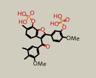 COc1ccc(-c2oc3c(OP(=O)(O)O)c(C)ccc3c2C(=O)c2cc(C)c(C)c(OC)c2)cc1OP(=O)(O)O